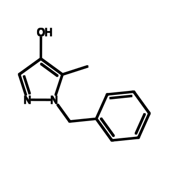 Cc1c(O)cnn1Cc1ccccc1